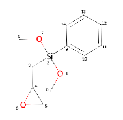 CO[Si](CC1CO1)(OC)c1ccccc1